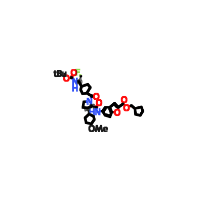 COC1CCC([C@@H]2CCN(C(=O)C3CCC([C@@H](CF)NC(=O)OC(C)(C)C)CC3)[C@H]2C(=O)Nc2ccc3oc(C(=O)OCC4CCCC4)cc3c2)CC1